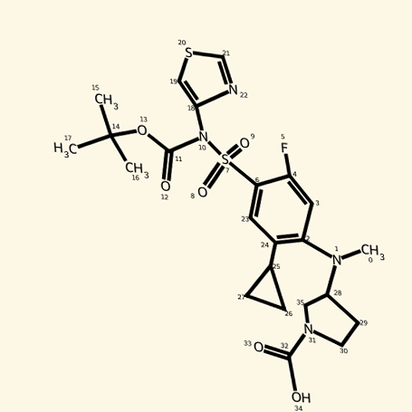 CN(c1cc(F)c(S(=O)(=O)N(C(=O)OC(C)(C)C)c2cscn2)cc1C1CC1)C1CCN(C(=O)O)C1